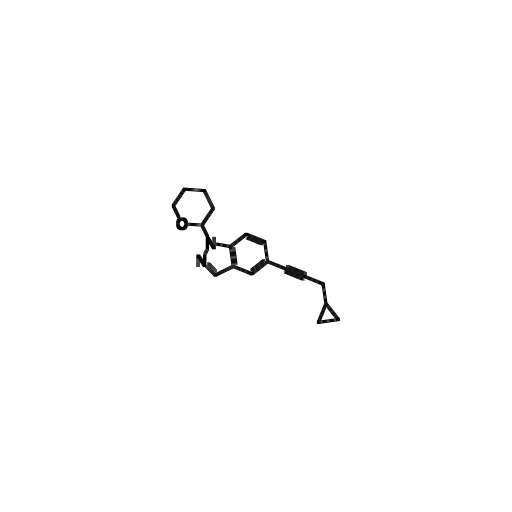 C(#Cc1ccc2c(cnn2C2CCCCO2)c1)CC1CC1